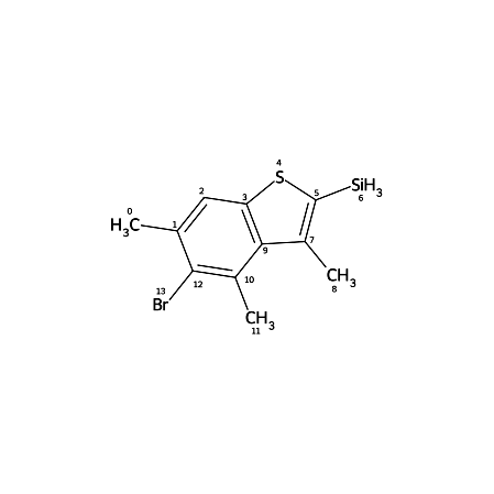 Cc1cc2sc([SiH3])c(C)c2c(C)c1Br